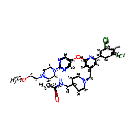 COCCN1CCN(c2ncc(Oc3cc(CN4CCC(CNC(C)=O)CC4)cc(-c4cc(Cl)cc(Cl)c4)n3)cn2)CC1